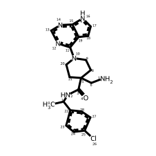 CC(NC(=O)C1(CN)CCN(c2ncnc3[nH]ccc23)CC1)c1ccc(Cl)cc1